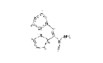 NC(=O)C1=Cc2cccnc2N2C=CSC12